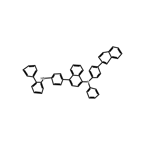 c1ccc(-c2ccccc2Nc2ccc(-c3ccc(N(c4ccccc4)c4ccc(-c5ccc6ccccc6c5)cc4)c4ccccc34)cc2)cc1